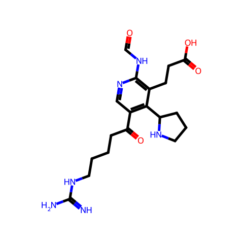 N=C(N)NCCCCC(=O)c1cnc(NC=O)c(CCC(=O)O)c1C1CCCN1